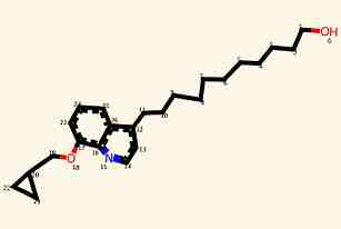 OCCCCCCCCCCCc1ccnc2c(OCC3CC3)cccc12